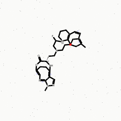 C/C1=C(CCCCN(CC[C@@H]2N\C3=c4/cnn(C)/c4=N/C=C(/CC3)OC2=O)CC(F)F)\C=C/C2=C(CC1)NCCC2